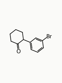 O=C1CCCCC1c1cccc(Br)c1